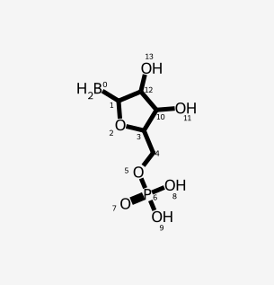 BC1OC(COP(=O)(O)O)C(O)C1O